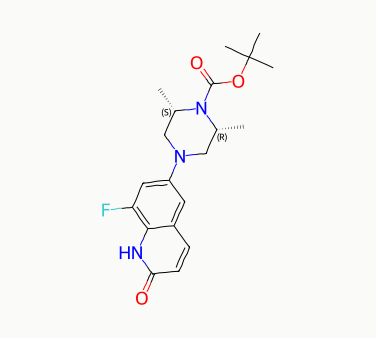 C[C@@H]1CN(c2cc(F)c3[nH]c(=O)ccc3c2)C[C@H](C)N1C(=O)OC(C)(C)C